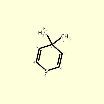 CC1(C)C=CSC=C1